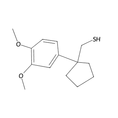 COc1ccc(C2(CS)CCCC2)cc1OC